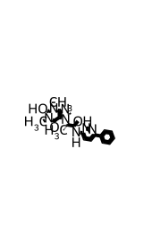 C[C@@H](C(O)Nc1ccc(-c2ccccc2)nn1)n1cnc2c1C(=O)N(C)C(O)N2C